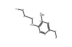 CCc1ccc(OCCCI)c(O)c1